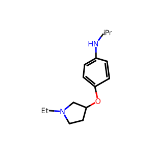 CCN1CCC(Oc2ccc(NC(C)C)cc2)C1